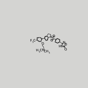 CN(C)CCOc1cc(C(F)(F)F)ccc1-c1ccc2c(c1)CCN2S(=O)(=O)c1ccc(-c2noc(=O)[nH]2)cc1